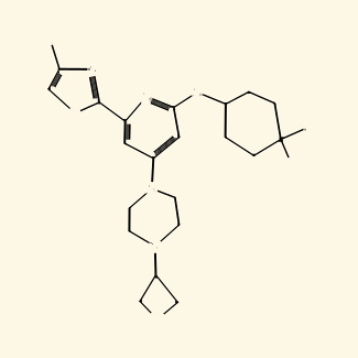 Cc1csc(-c2cc(N3CCN(C4COC4)CC3)cc(NC3CCC(F)(F)CC3)n2)n1